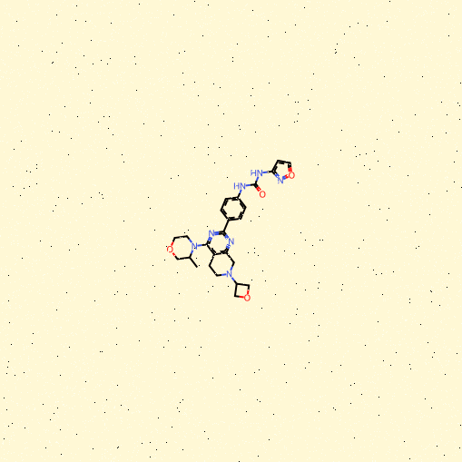 CC1COCCN1c1nc(-c2ccc(NC(=O)Nc3ccon3)cc2)nc2c1CCN(C1COC1)C2